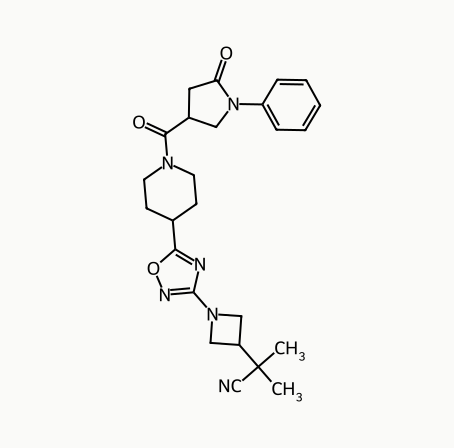 CC(C)(C#N)C1CN(c2noc(C3CCN(C(=O)C4CC(=O)N(c5ccccc5)C4)CC3)n2)C1